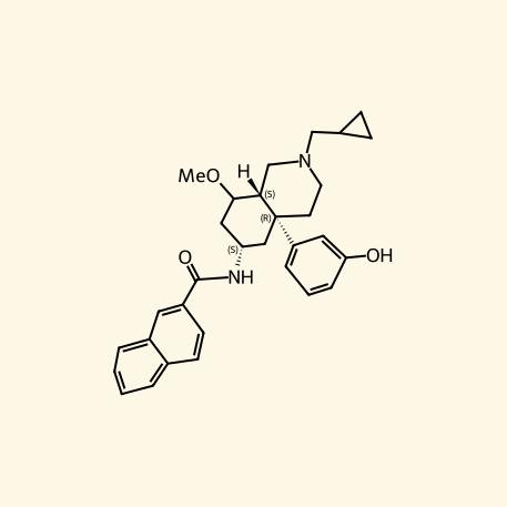 COC1C[C@@H](NC(=O)c2ccc3ccccc3c2)C[C@]2(c3cccc(O)c3)CCN(CC3CC3)C[C@@H]12